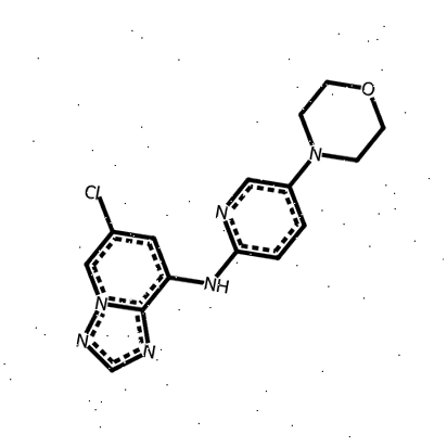 Clc1cc(Nc2ccc(N3CCOCC3)cn2)c2ncnn2c1